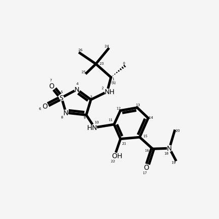 C[C@H](NC1=NS(=O)(=O)N=C1Nc1cccc(C(=O)N(C)C)c1O)C(C)(C)C